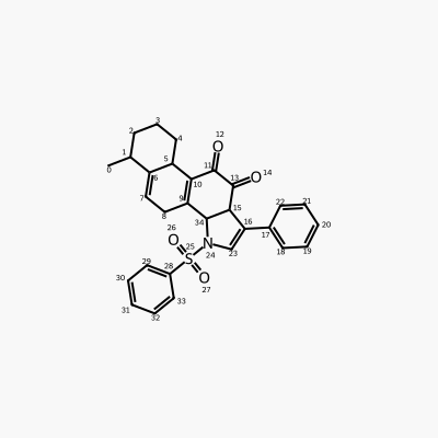 CC1CCCC2C1=CCC1=C2C(=O)C(=O)C2C(c3ccccc3)=CN(S(=O)(=O)c3ccccc3)C12